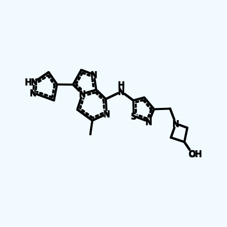 Cc1cn2c(-c3cn[nH]c3)cnc2c(Nc2cc(CN3CC(O)C3)ns2)n1